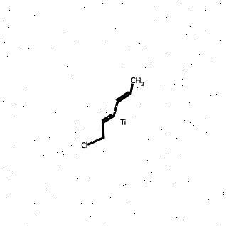 C/C=C/C=C/CCl.[Ti]